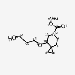 CC(C)(C)OC(=O)N1CCC2(CC2)C(OCCCO)C1